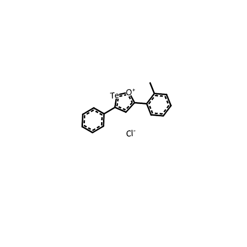 Cc1ccccc1-c1cc(-c2ccccc2)[te][o+]1.[Cl-]